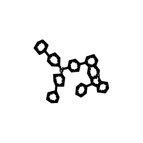 c1ccc(-c2ccc(N(c3ccc(-c4ccccc4)cc3)c3ccc(-c4cccc5cn6c(cc45)c(-c4ccccc4)c4ccccc46)cc3)cc2)cc1